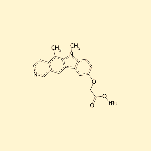 Cc1c2ccncc2cc2c3cc(OCC(=O)OC(C)(C)C)ccc3n(C)c12